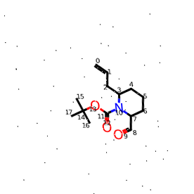 C=CCC1CCCC(C=O)N1C(=O)OC(C)(C)C